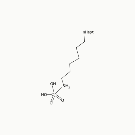 CCCCCCCCCCCCC[SiH2][Cr](=[O])(=[O])([OH])[OH]